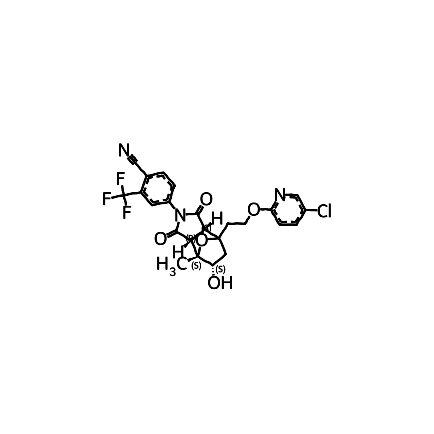 C[C@@]12OC(CCOc3ccc(Cl)cn3)(C[C@@H]1O)[C@H]1C(=O)N(c3ccc(C#N)c(C(F)(F)F)c3)C(=O)[C@H]12